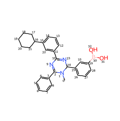 CN1C(c2ccccc2)=NC(c2cccc(C3CCCCC3)c2)=NC1c1cccc(B(O)O)c1